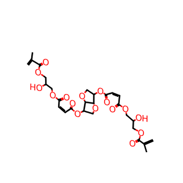 C=C(C)C(=O)OCC(O)COC(=O)/C=C\C(=O)OC1COC2C(OC(=O)/C=C\C(=O)OCC(O)COC(=O)C(=C)C)COC12